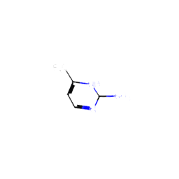 NC1N=CC=C(C(F)(F)F)N1